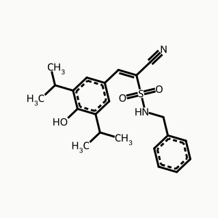 CC(C)c1cc(C=C(C#N)S(=O)(=O)NCc2ccccc2)cc(C(C)C)c1O